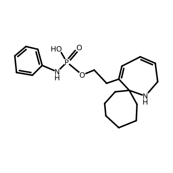 O=P(O)(Nc1ccccc1)OCCC1=CC=CCNC12CCCCCC2